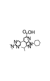 CC(C)c1nn(C2CCCCC2)c2nc(C(=O)O)cc(-c3cnc(N(C)C)nc3)c12